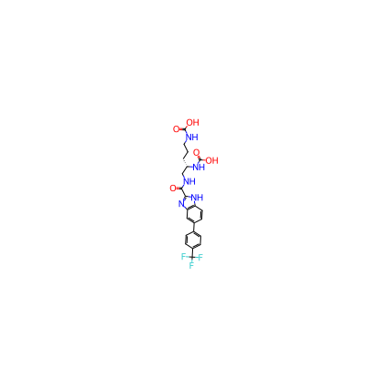 O=C(O)NCCC[C@@H](CNC(=O)c1nc2cc(-c3ccc(C(F)(F)F)cc3)ccc2[nH]1)NC(=O)O